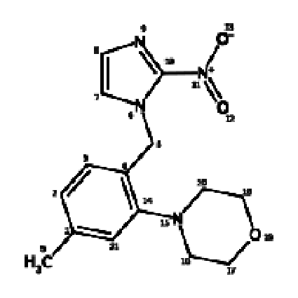 Cc1ccc(Cn2ccnc2[N+](=O)[O-])c(N2CCOCC2)c1